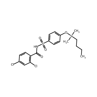 CCCC[Si](C)(C)Oc1ccc(S(=O)(=O)NC(=O)c2ccc(Cl)cc2Cl)cc1